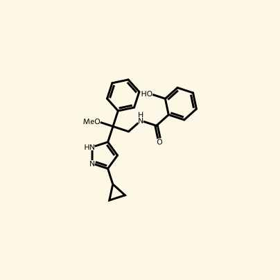 COC(CNC(=O)c1ccccc1O)(c1ccccc1)c1cc(C2CC2)n[nH]1